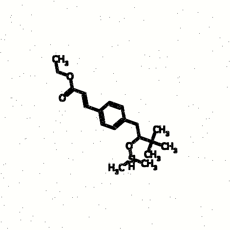 CCOC(=O)C=Cc1ccc(CC(O[SiH](C)C)C(C)(C)C)cc1